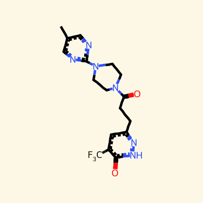 Cc1cnc(N2CCN(C(=O)CCc3cc(C(F)(F)F)c(=O)[nH]n3)CC2)nc1